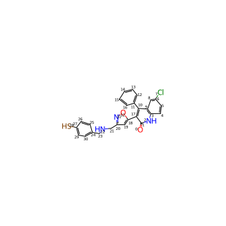 O=c1[nH]c2ccc(Cl)cc2c(-c2ccccc2)c1-c1cc(CNCc2ccc(S)cc2)no1